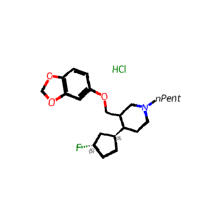 CCCCCN1CCC([C@H]2CC[C@H](F)C2)C(COc2ccc3c(c2)OCO3)C1.Cl